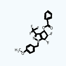 COc1ccc(Cn2nc(C(F)(F)F)c3c2[C@@H](F)[C@@H](F)[C@H]3OC(=O)c2ccccc2)cc1